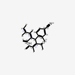 C=C/C(C)=C(/C(C)=O)C(/C(C(=C)O)=C(C)/C(C)=C\C)c1ccc(C#N)cc1C